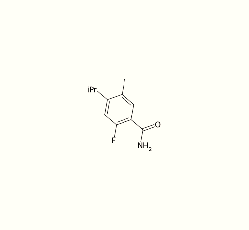 Cc1cc(C(N)=O)c(F)cc1C(C)C